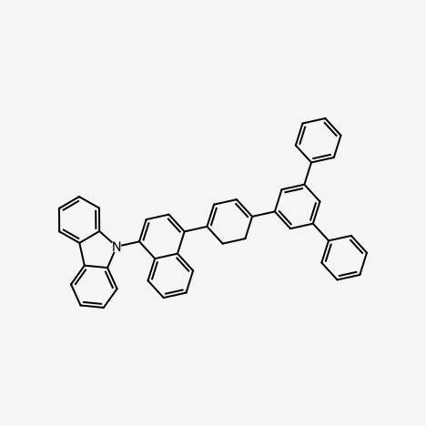 C1=C(c2cc(-c3ccccc3)cc(-c3ccccc3)c2)CCC(c2ccc(-n3c4ccccc4c4ccccc43)c3ccccc23)=C1